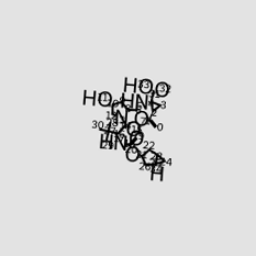 C=C[C@@H]1C[C@]1(NC(=O)C1CC(O)CN1C(=O)[C@@H](NC(=O)OC1CC2C[C@H]2C1)C(C)(C)C)C(=O)O